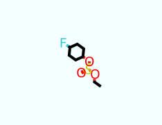 CCOS(=O)OC1CCC(F)CC1